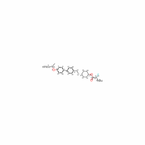 CCCCCC[C@@H](C)Oc1ccc(-c2ccc(CC[C@H]3CC[C@H](OC(=O)[C@@H](F)CCCC)CC3)cc2)cc1